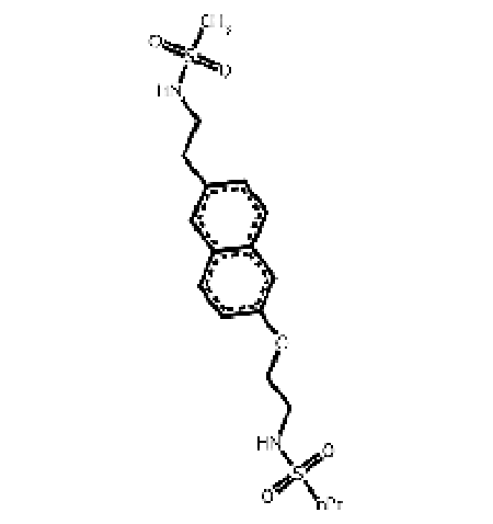 CCCS(=O)(=O)NCCOc1ccc2cc(CCNS(C)(=O)=O)ccc2c1